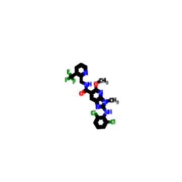 COc1nc2c(cc1C(=O)NCc1ncccc1C(F)(F)F)nc(Nc1c(Cl)cccc1Cl)n2C